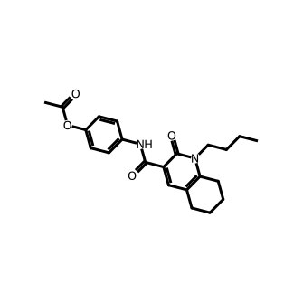 CCCCn1c2c(cc(C(=O)Nc3ccc(OC(C)=O)cc3)c1=O)CCCC2